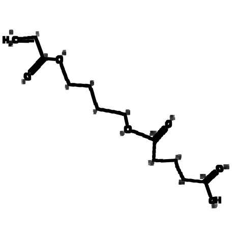 C=CC(=O)OCCCCOC(=O)CCCC(=O)O